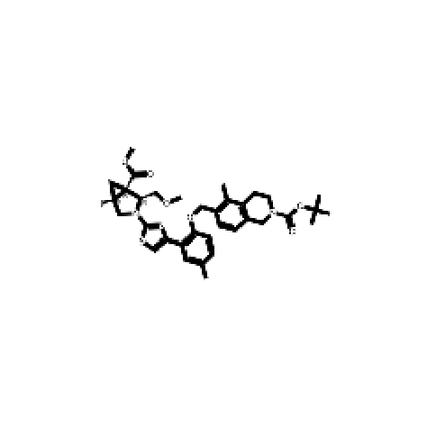 COC[C@H]1N(c2nc(-c3cc(C)ccc3OCc3ccc4c(c3C)CCN(C(=O)OC(C)(C)C)C4)cs2)C[C@@H]2C[C@@]21C(=O)OC